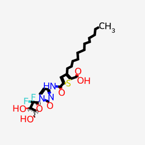 CCCCCCCCCCCCc1cc(C(=O)Nc2ccn([C@@H]3O[C@H](CO)[C@@H](O)C3(F)F)c(=O)n2)sc1C(=O)O